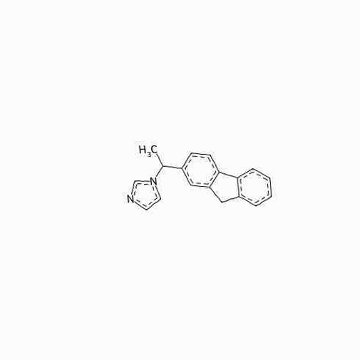 CC(c1ccc2c(c1)Cc1ccccc1-2)n1ccnc1